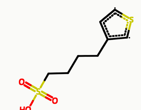 O=S(=O)(O)CCCCc1[c]s[c]c1